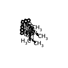 CCCNCCC(C)S(=O)(=O)NC(=O)Nc1c2c(cc3c1C(C1Cc4cc5c(c(NC(=O)NS(=O)(=O)CCC(C)NCCC)c4C1)CCC5)CC3)CCC2